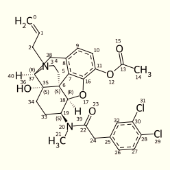 C=CCN1CC[C@]23c4c5ccc(OC(C)=O)c4O[C@H]2[C@@H](N(C)C(=O)Cc2ccc(Cl)c(Cl)c2)CC[C@@]3(O)[C@H]1C5